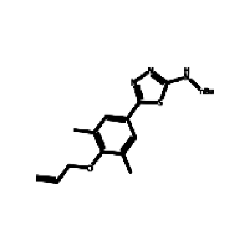 C=CCOc1c(C)cc(-c2nnc(NCCCC)s2)cc1C